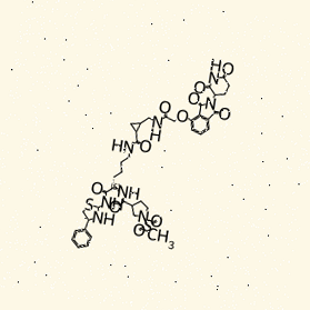 CS(=O)(=O)N1CCC(C(=O)N[C@@H](CCCCNC(=O)C2CC2CNC(=O)COc2cccc3c2C(=O)N(C2CCC(=O)NC2=O)C3=O)C(=O)NC2NC(c3ccccc3)CS2)C1